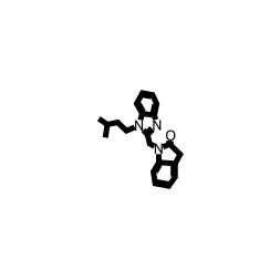 CC(C)CCn1c(CN2C(=O)Cc3ccccc32)nc2ccccc21